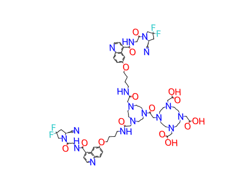 N#C[C@@H]1CC(F)(F)CN1C(=O)CNC(=O)c1ccnc2ccc(OCCCCNC(=O)CN3CCN(CC(=O)NCCCCOc4ccc5nccc(C(=O)NCC(=O)N6CC(F)(F)C[C@H]6C#N)c5c4)CCN(C(=O)CN4CCN(CC(=O)O)CCN(CC(=O)O)CCN(CC(=O)O)CC4)CC3)cc12